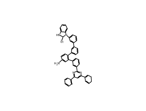 CCC1Nc2ccccc2N1c1cccc(-c2cccc(-c3ccc(N)cc3-c3cccc(-c4nc(C5=CCCC=C5)cc(-c5ccccc5)n4)c3)c2)c1